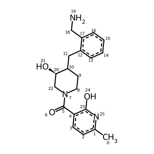 Cc1ccc(C(=O)N2CCC(Cc3ccccc3CN)[C@H](O)C2)c(O)n1